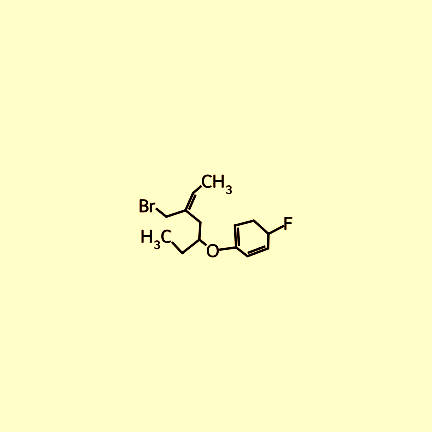 C/C=C(/CBr)CC(CC)OC1=CCC(F)C=C1